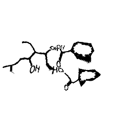 CCC(O)C(CC)C(O)CC(C)C.O=C(O)c1ccccc1.O=C(O)c1ccccc1